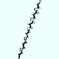 CCCOCCCOCCC[N]CCCOCCCOCCC